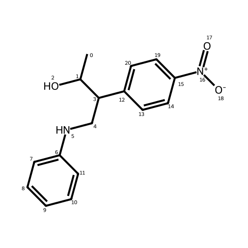 CC(O)C(CNc1ccccc1)c1ccc([N+](=O)[O-])cc1